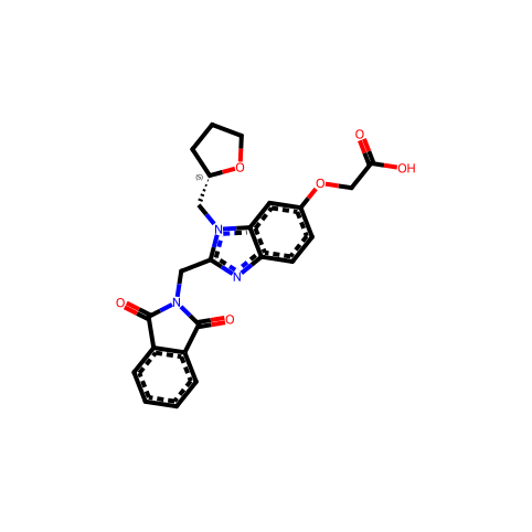 O=C(O)COc1ccc2nc(CN3C(=O)c4ccccc4C3=O)n(C[C@@H]3CCCO3)c2c1